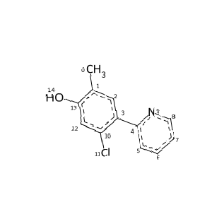 Cc1cc(-c2ccccn2)c(Cl)cc1O